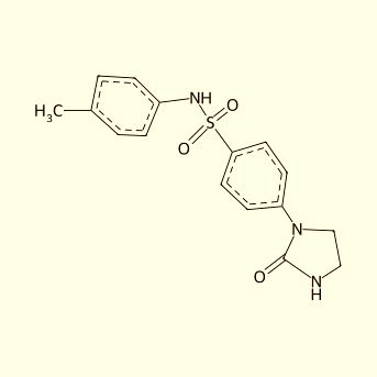 Cc1ccc(NS(=O)(=O)c2ccc(N3CCNC3=O)cc2)cc1